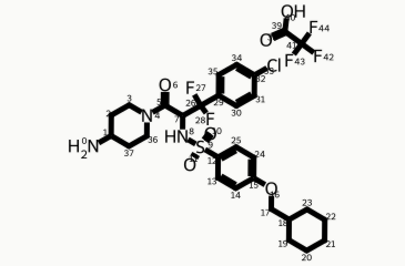 NC1CCN(C(=O)C(NS(=O)(=O)c2ccc(OCC3CCCCC3)cc2)C(F)(F)c2ccc(Cl)cc2)CC1.O=C(O)C(F)(F)F